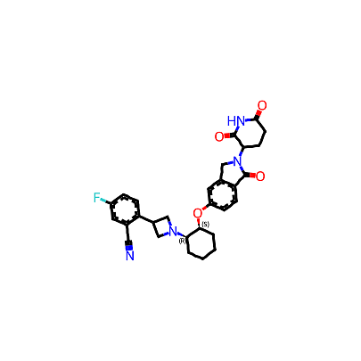 N#Cc1cc(F)ccc1C1CN([C@@H]2CCCC[C@@H]2Oc2ccc3c(c2)CN(C2CCC(=O)NC2=O)C3=O)C1